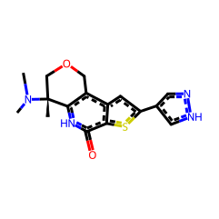 CN(C)[C@]1(C)COCc2c1[nH]c(=O)c1sc(-c3cn[nH]c3)cc21